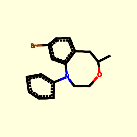 CC1Cc2ccc(Br)cc2N(c2ccccc2)CCO1